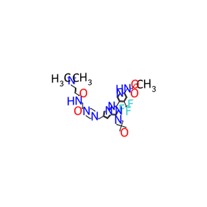 COC(=O)Nc1cc(C(F)(F)F)c(-c2nc(N3CC4(COC4)C3)c3cc(CN4CCN(C(=O)CNC(=O)/C=C/CN(C)C)CC4)cn3n2)cn1